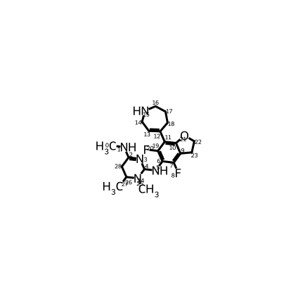 CNC1=NC(Nc2c(F)c3c(c(C4=CCNCCC4)c2F)OCC3)N(C)C(C)C1